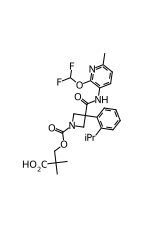 Cc1ccc(NC(=O)C2(c3ccccc3C(C)C)CN(C(=O)OCC(C)(C)C(=O)O)C2)c(OC(F)F)n1